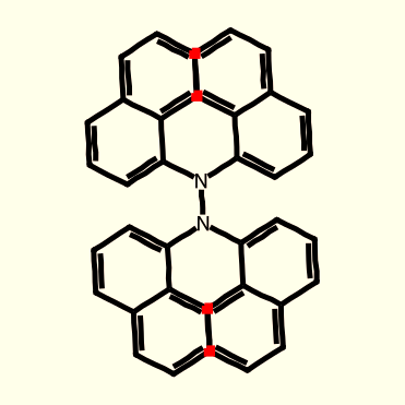 c1ccc2c(N(c3cccc4ccccc34)N(c3cccc4ccccc34)c3cccc4ccccc34)cccc2c1